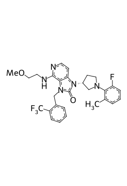 COCCNc1nccc2c1n(Cc1ccccc1C(F)(F)F)c(=O)n2[C@@H]1CCN(c2c(C)cccc2F)C1